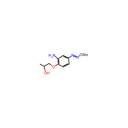 CON=Nc1ccc(OCC(C)O)c(N)c1